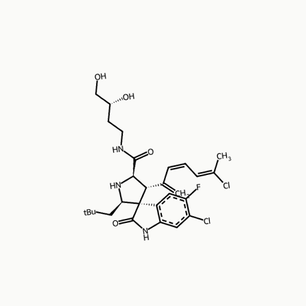 C=C(/C=C\C=C(/C)Cl)[C@H]1[C@H](C(=O)NCC[C@@H](O)CO)N[C@H](CC(C)(C)C)[C@]12C(=O)Nc1cc(Cl)c(F)cc12